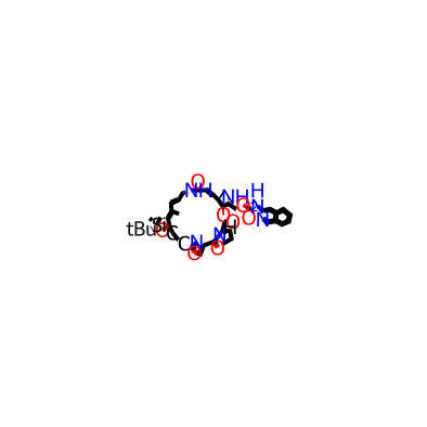 CC1=C\C(O[Si](C)(C)C(C)(C)C)CCCc2nc(co2)C(=O)N2CCC[C@@H]2C(=O)O[C@H]([C@H](N)COC(=O)Nc2cc3ccccc3cn2)[C@H](C)/C=C/C(=O)NC\C=C\1